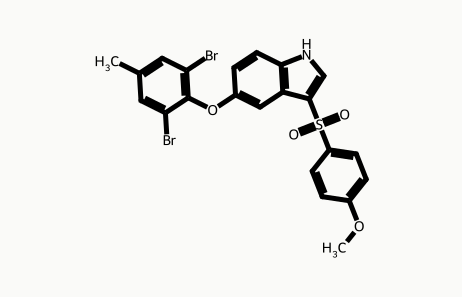 COc1ccc(S(=O)(=O)c2c[nH]c3ccc(Oc4c(Br)cc(C)cc4Br)cc23)cc1